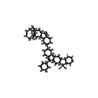 CC1(C)c2ccccc2-c2cc3c4cc(-c5ccc6oc7cc8c(cc7c6c5)C5C=CC6C(C=C5)C86)ccc4n(-c4ccccc4)c3cc21